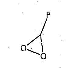 F[C]1OO1